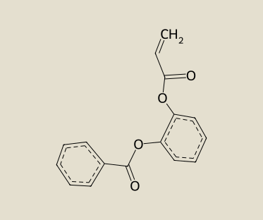 C=CC(=O)Oc1ccccc1OC(=O)c1ccccc1